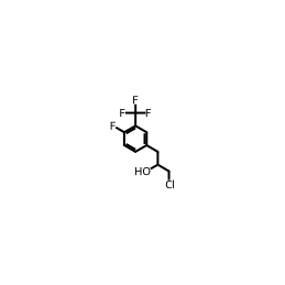 OC(CCl)Cc1ccc(F)c(C(F)(F)F)c1